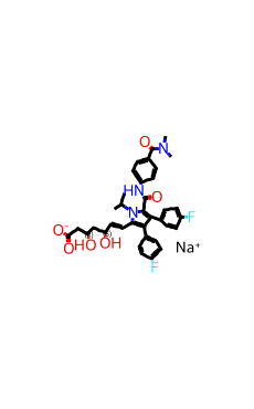 CC(C)n1c(C=C[C@@H](O)C[C@@H](O)CC(=O)[O-])c(-c2ccc(F)cc2)c(-c2ccc(F)cc2)c1C(=O)Nc1ccc(C(=O)N(C)C)cc1.[Na+]